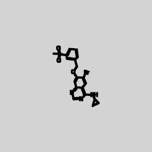 CS(=O)(=O)c1cccc(COc2cc3ncnc(NC4CC4)c3cc2Br)c1